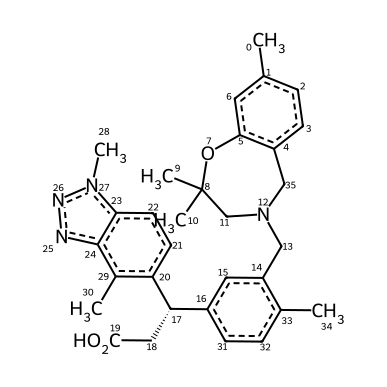 Cc1ccc2c(c1)OC(C)(C)CN(Cc1cc([C@H](CC(=O)O)c3ccc4c(nnn4C)c3C)ccc1C)C2